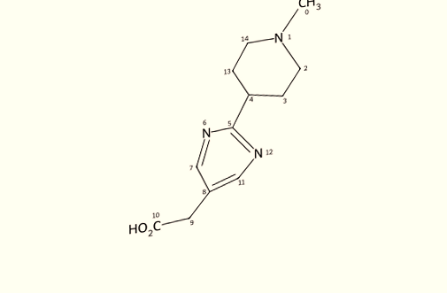 CN1CCC(c2ncc(CC(=O)O)cn2)CC1